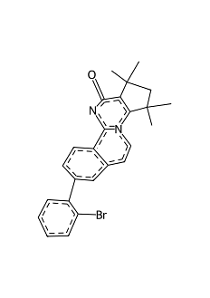 CC1(C)CC(C)(C)c2c1c(=O)nc1c3ccc(-c4ccccc4Br)cc3ccn21